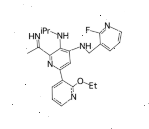 CCOc1ncccc1-c1cc(NCc2cccnc2F)c(NC(C)C)c(C(C)=N)n1